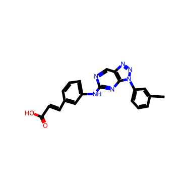 Cc1cccc(-n2nnc3cnc(Nc4cccc(/C=C/C(=O)O)c4)nc32)c1